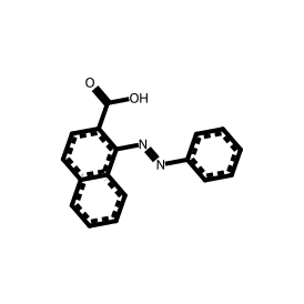 O=C(O)c1ccc2ccccc2c1N=Nc1ccccc1